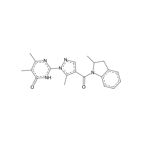 Cc1nc(-n2ncc(C(=O)N3c4ccccc4CC3C)c2C)[nH]c(=O)c1C